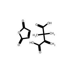 C=C(C(=O)O)C(C)(C)C(=O)O.O=C1C=CC(=O)O1